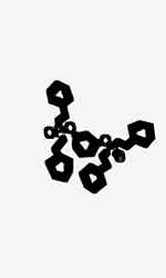 O=P(CCc1ccccc1)(CCc1ccccc1)Oc1cccc(OP(=O)(CCc2ccccc2)CCc2ccccc2)c1